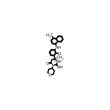 Cc1ccc(Nc2cccc([C@]3(C)CC(=O)N(C4CCOCC4)C(=N)N3)c2Cl)c2ccccc12